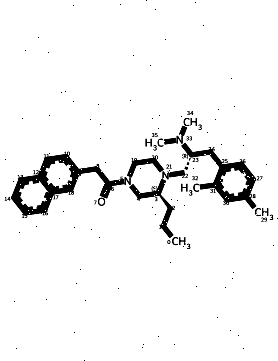 CCC[C@H]1CN(C(=O)Cc2ccc3ccccc3c2)CCN1C[C@@H](Cc1ccc(C)cc1C)N(C)C